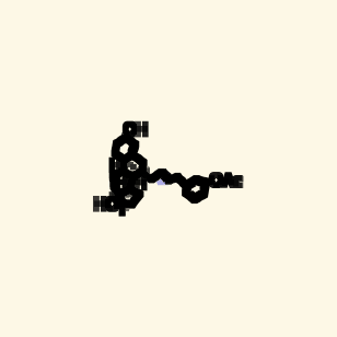 CC(=O)Oc1cccc(C/C=C/C[C@@H]2CC3=C[C@@H](O)CC[C@]3(C)[C@H]3CC[C@@]4(C)[C@@H](CC[C@]4(C)O)[C@H]23)c1